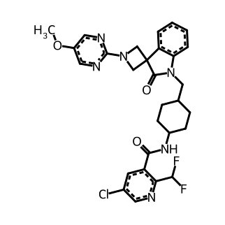 COc1cnc(N2CC3(C2)C(=O)N(CC2CCC(NC(=O)c4cc(Cl)cnc4C(F)F)CC2)c2ccccc23)nc1